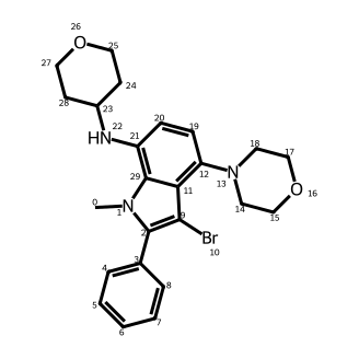 Cn1c(-c2ccccc2)c(Br)c2c(N3CCOCC3)ccc(NC3CCOCC3)c21